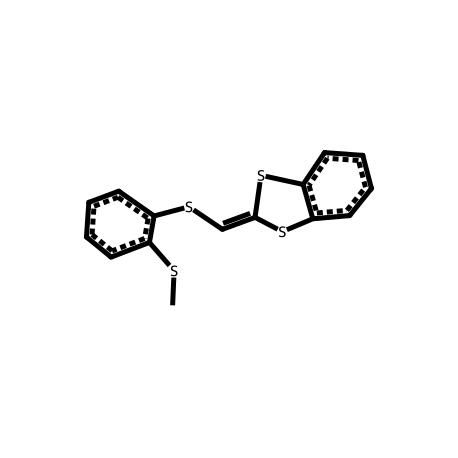 CSc1ccccc1SC=C1Sc2ccccc2S1